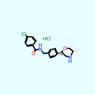 Cl.O=C(NCc1ccc([C@@H]2CNCCO2)cc1)c1ccc(Cl)cc1